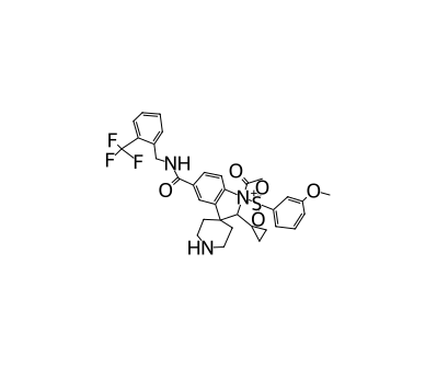 COc1cccc(S(=O)(=O)[N+]2(C(C)=O)c3ccc(C(=O)NCc4ccccc4C(F)(F)F)cc3C3(CCNCC3)C2C2CC2)c1